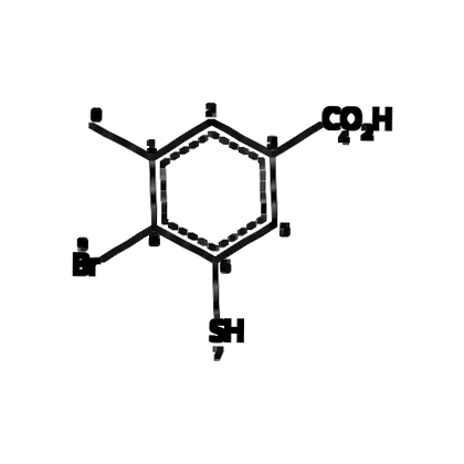 Cc1cc(C(=O)O)cc(S)c1Br